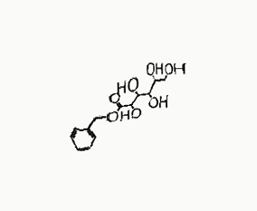 O=C(OCc1ccccc1)[C@H](O)[C@@H](O)[C@H](O)[C@H](O)CO